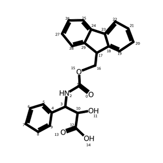 O=C(NC(c1ccccc1)C(O)C(=O)O)OCC1c2ccccc2-c2ccccc21